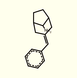 NC1C2CCC1CC(=Cc1ccccc1)C2